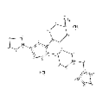 CC1(C)CCC(c2cc(N3CCCC3)ccc2N2CCN(Cc3ccco3)CC2)CC1.Cl